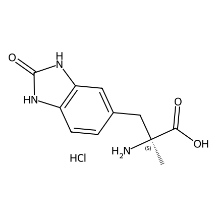 C[C@](N)(Cc1ccc2[nH]c(=O)[nH]c2c1)C(=O)O.Cl